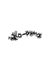 C[C@@H](O)[C@H](NC(=O)c1ccc(C#Cc2ccc(NC(=O)CNCc3ccc(F)c(F)c3)cc2)cc1)C(=O)NO